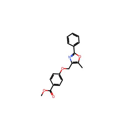 COC(=O)c1ccc(OCc2nc(-c3ccccc3)oc2C)cc1